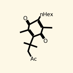 CCCCCCC1=C(C)C(=O)C(C(C)(C)CC(C)=O)=C(C)C1=O